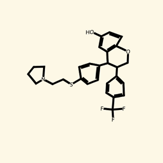 Oc1ccc2c(c1)C(c1ccc(SCCN3CCCC3)cc1)C(c1ccc(C(F)(F)F)cc1)CO2